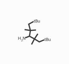 CC(C)(C)CC(C)(C)C(N)C(C)(C)CC(C)(C)C